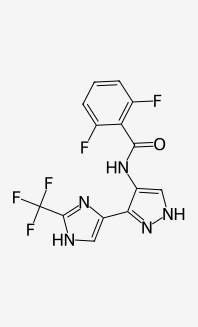 O=C(Nc1c[nH]nc1-c1c[nH]c(C(F)(F)F)n1)c1c(F)cccc1F